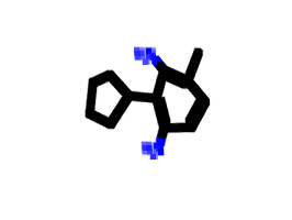 Cc1ccc(N)c(C2CCCC2)c1N